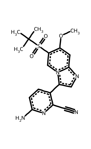 COc1cc2ncc(-c3ccc(N)nc3C#N)n2cc1S(=O)(=O)C(C)(C)C